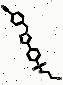 N#Cc1ccc(Cn2cc(-c3ccc(S(=O)(=O)NCCO)cc3)nn2)cc1